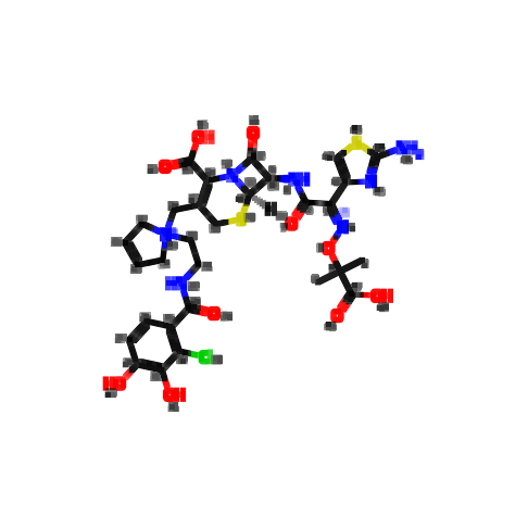 CC(C)(O/N=C(\C(=O)N[C@@H]1C(=O)N2C(C(=O)O)=C(C[N+]3(CCNC(=O)c4ccc(O)c(O)c4Cl)CC=CC3)CS[C@H]12)c1csc(N)n1)C(=O)O